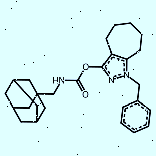 O=C(NCC12CC3CC(CC(C3)C1)C2)Oc1nn(Cc2ccccc2)c2c1CCCCC2